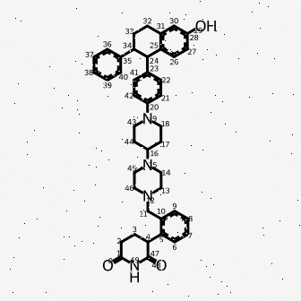 O=C1CCC(c2ccccc2CN2CCN(C3CCN(c4ccc(C5c6ccc(O)cc6CCC5c5ccccc5)cc4)CC3)CC2)C(=O)N1